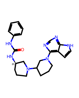 O=C(Nc1ccccc1)N[C@@H]1CCCN(C2CCCN(c3ncnc4[nH]ccc34)C2)C1